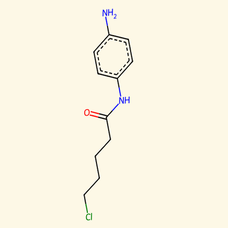 Nc1ccc(NC(=O)CCCCCl)cc1